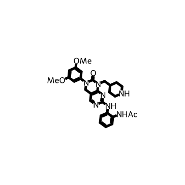 COc1cc(OC)cc(N2Cc3cnc(Nc4ccccc4NC(C)=O)nc3N(CC3CCNCC3)C2=O)c1